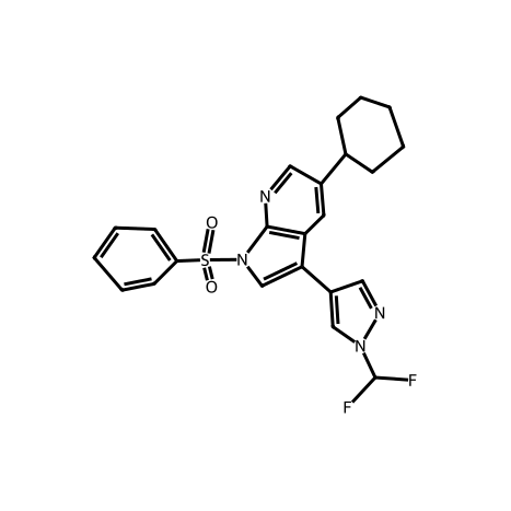 O=S(=O)(c1ccccc1)n1cc(-c2cnn(C(F)F)c2)c2cc(C3CCCCC3)cnc21